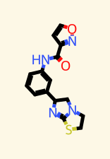 O=C(Nc1cccc(C2CN3CCSC3=N2)c1)c1ccon1